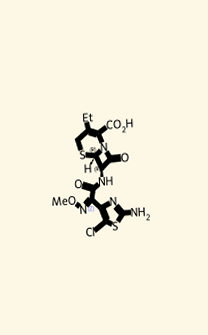 CCC1=C(C(=O)O)N2C(=O)[C@@H](NC(=O)/C(=N\OC)c3nc(N)sc3Cl)[C@H]2SC1